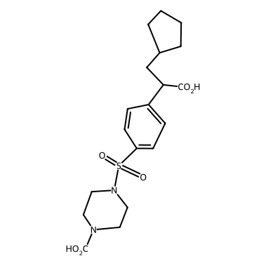 O=C(O)C(CC1CCCC1)c1ccc(S(=O)(=O)N2CCN(C(=O)O)CC2)cc1